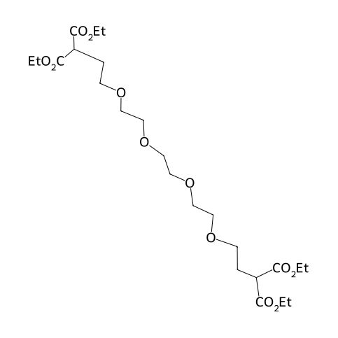 CCOC(=O)C(CCOCCOCCOCCOCCC(C(=O)OCC)C(=O)OCC)C(=O)OCC